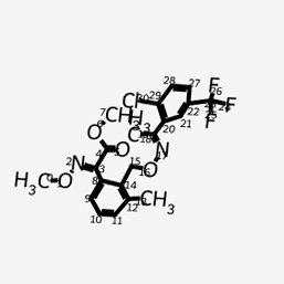 CO/N=C(/C(=O)OC)c1cccc(C)c1CO/N=C(\C)c1cc(C(F)(F)F)ccc1Cl